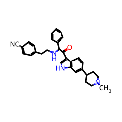 CN1CCC(c2ccc3c(C(=O)C(NCCc4ccc(C#N)cc4)c4ccccc4)c[nH]c3c2)CC1